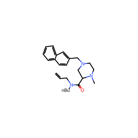 C=CCN(CCCC)C(=O)C1CN(Cc2ccc3ccccc3c2)CCN1C